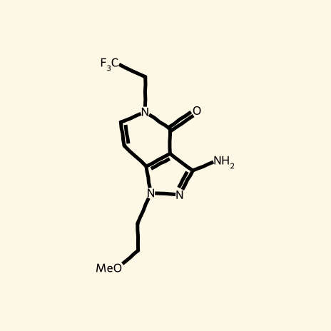 COCCn1nc(N)c2c(=O)n(CC(F)(F)F)ccc21